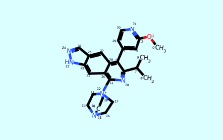 COc1cc(-c2c(C(C)C)nc([N+]34CCN(CC3)CC4)c3cc4[nH]ncc4cc23)ccn1